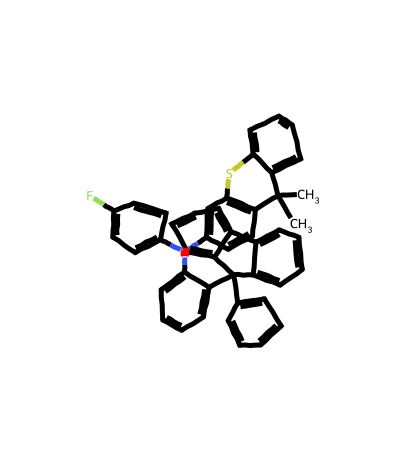 CC1(C)c2ccccc2Sc2cc(N(c3ccc(F)cc3)c3ccccc3C3(c4ccccc4)c4ccccc4-c4ccccc43)ccc21